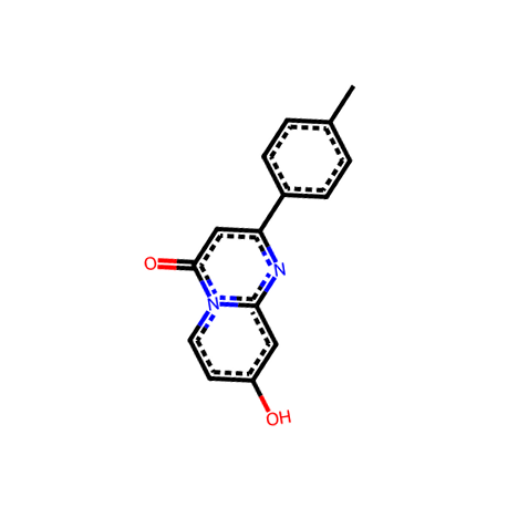 Cc1ccc(-c2cc(=O)n3ccc(O)cc3n2)cc1